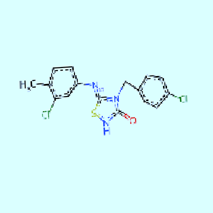 Cc1ccc(/N=c2\s[nH]c(=O)n2Cc2ccc(Cl)cc2)cc1Cl